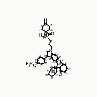 NC1(C(=O)NCCCn2cc(-c3ccc(OC(F)(F)F)cc3)c3cc(CN4CC5CCC(C4)N5Cc4c(Cl)cccc4Cl)ccc32)CCNCC1